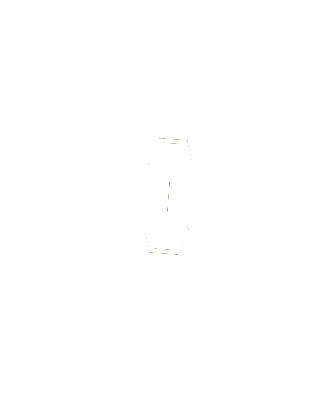 CC(=O)c1ccc(-c2ccc(C(=O)O)s2)s1